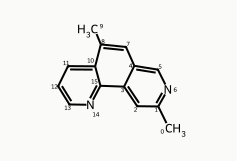 Cc1cc2c(cn1)cc(C)c1cccnc12